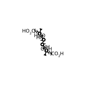 Cc1c(NC(=O)c2cc(C3CC3)c(CNC(C)C(=O)O)cn2)cccc1-c1cccc(NC(=O)c2cc(C3CC3)c(CN[C@@H](C)C(=O)O)cn2)c1C